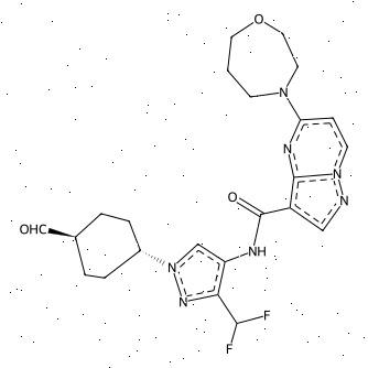 O=C[C@H]1CC[C@H](n2cc(NC(=O)c3cnn4ccc(N5CCCOCC5)nc34)c(C(F)F)n2)CC1